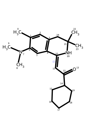 Cc1cc2c(cc1N(C)C)/C(=C/C(=O)C1CCCCC1)NC(C)(C)C2